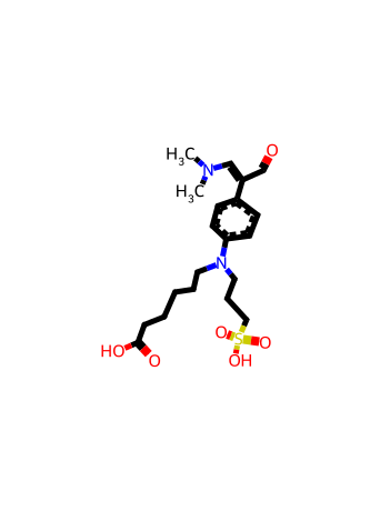 CN(C)/C=C(/C=O)c1ccc(N(CCCCCC(=O)O)CCCS(=O)(=O)O)cc1